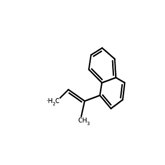 [CH2]C=C(C)c1cccc2ccccc12